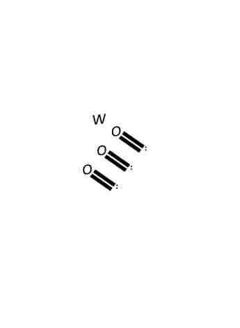 [C]=O.[C]=O.[C]=O.[W]